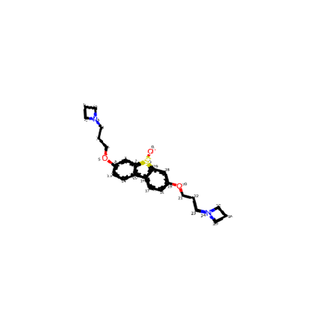 [O-][s+]1c2cc(OCCCN3CCC3)ccc2c2ccc(OCCCN3CCC3)cc21